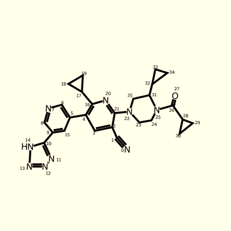 N#Cc1cc(-c2cncc(-c3nnn[nH]3)c2)c(C2CC2)nc1N1CCN(C(=O)C2CC2)C(C2CC2)C1